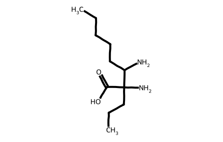 CCCCCC(N)C(N)(CCC)C(=O)O